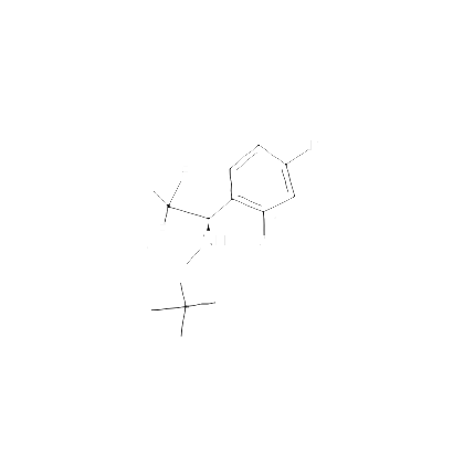 CC(C)(C)[S@+]([O-])N[C@H](c1ccc(Br)cc1Cl)C(F)(F)F